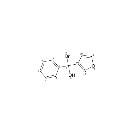 OC(Br)(c1ccccc1)c1ccon1